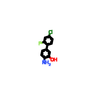 Nc1ccc(-c2ccc(Cl)cc2F)cc1O